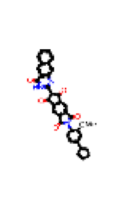 COc1cc(C2=CCC=C2)ccc1N1C(=O)c2cc3c(cc2C1=O)C(=O)C(c1nc2cc4ccccc4cc2c(=O)[nH]1)C3=O